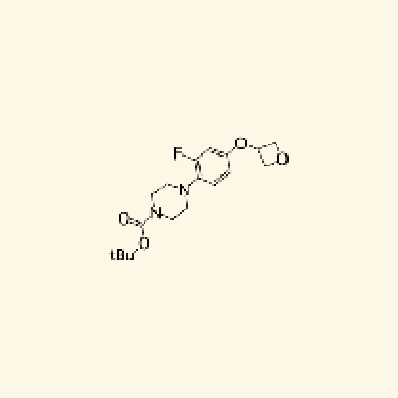 CC(C)(C)OC(=O)N1CCN(c2ccc(OC3COC3)cc2F)CC1